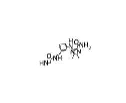 CNCC(=O)NCCc1cccc(Nc2nc(C)c(C)nc2C(N)=O)c1